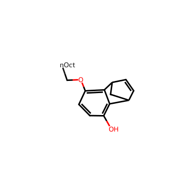 CCCCCCCCCOc1ccc(O)c2c1C1C=CC2C1